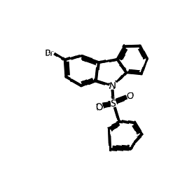 O=S(=O)(c1ccccc1)n1c2ccccc2c2cc(Br)ccc21